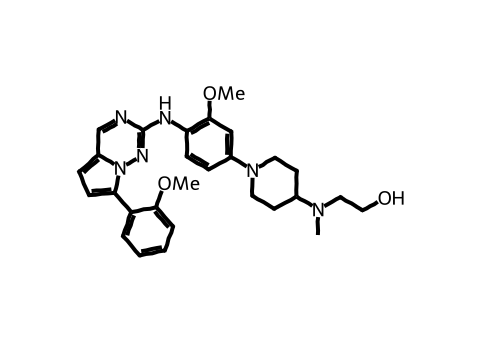 COc1cc(N2CCC(N(C)CCO)CC2)ccc1Nc1ncc2ccc(-c3ccccc3OC)n2n1